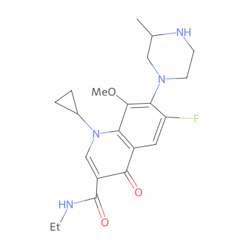 [CH2]CNC(=O)c1cn(C2CC2)c2c(OC)c(N3CCNC(C)C3)c(F)cc2c1=O